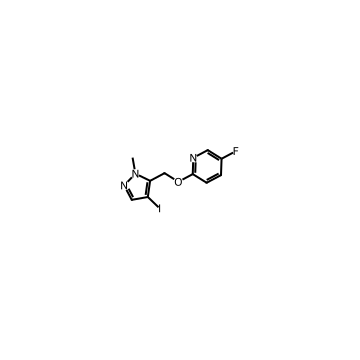 Cn1ncc(I)c1COc1ccc(F)cn1